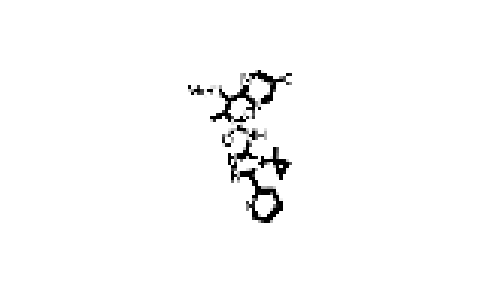 COC(c1ncc(Cl)cn1)C(C)S(=O)(=O)Nc1nnc(-c2ccccn2)n1C1(C)CC1